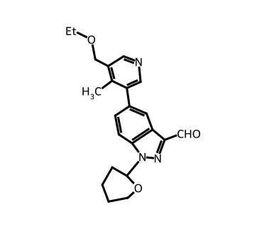 CCOCc1cncc(-c2ccc3c(c2)c(C=O)nn3C2CCCCO2)c1C